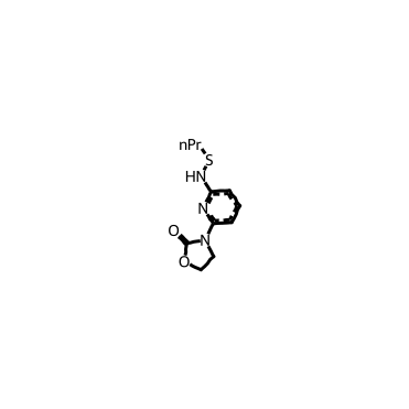 CCCSNc1cccc(N2CCOC2=O)n1